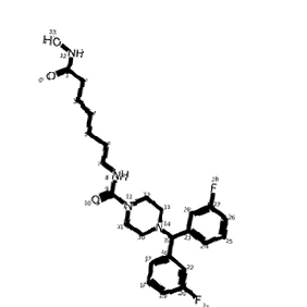 O=C(CCCCCCNC(=O)N1CCN(C(c2cccc(F)c2)c2cccc(F)c2)CC1)NO